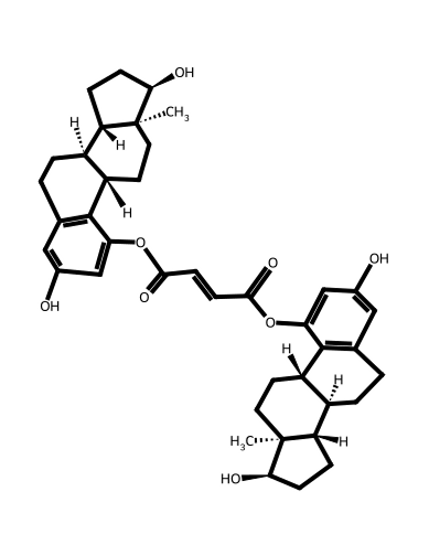 C[C@]12CC[C@@H]3c4c(cc(O)cc4OC(=O)/C=C/C(=O)Oc4cc(O)cc5c4[C@H]4CC[C@]6(C)[C@H](O)CC[C@H]6[C@@H]4CC5)CC[C@H]3[C@@H]1CC[C@H]2O